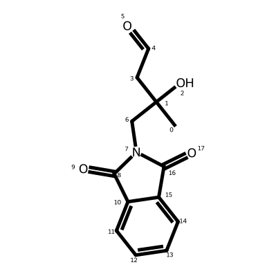 CC(O)(CC=O)CN1C(=O)c2ccccc2C1=O